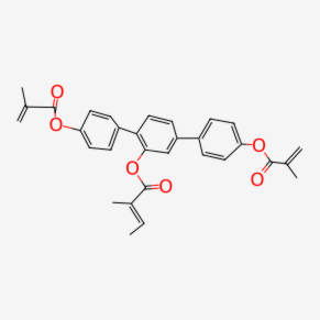 C=C(C)C(=O)Oc1ccc(-c2ccc(-c3ccc(OC(=O)C(=C)C)cc3)c(OC(=O)/C(C)=C/C)c2)cc1